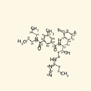 CCC/C(=N\C#N)NCCC(O)C(Cc1cc(F)cc(F)c1)NC(=O)c1cc(C)cc(C(=O)N(CCC)CCC)c1